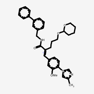 COc1cc(/C=C(\CCCOC2CCCCO2)C(=O)NCc2cccc(-c3ccccc3)c2)ccc1-n1cnc(C)c1